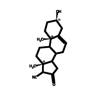 C[C@]12CCC3C(CC=C4C[C@@H](O)CC[C@@]43C)C1CC(=O)C2C#N